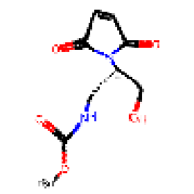 CC(C)(C)OC(=O)NC[C@@H](CO)N1C(=O)C=CC1=O